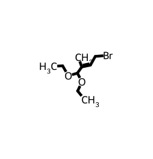 CCOC(OCC)C(C)=CCBr